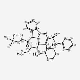 CCCCc1c2c(cc(C(=O)Nc3ccccc3)c1N1CCCCC1N)-c1ccccc1C2C(=O)NCC(F)(F)F